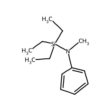 CC[Si](CC)(CC)N(C)c1ccccc1